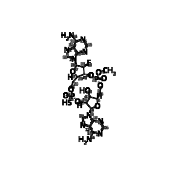 COP1(=O)OC[C@H]2O[C@@H](n3cnc4c(N)ncnc43)[C@@H](OP(=O)(S)OC[C@H]3O[C@@H](n4cnc5c(N)ncnc54)[C@@H](F)C3O1)C2O